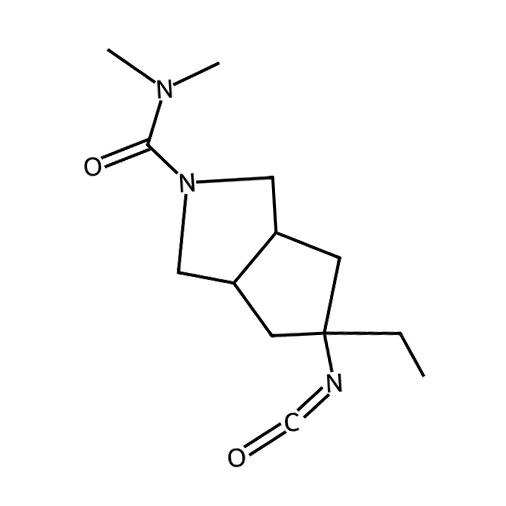 CCC1(N=C=O)CC2CN(C(=O)N(C)C)CC2C1